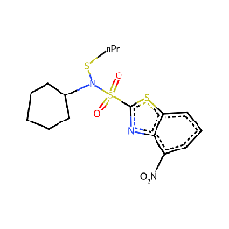 CCCSN(C1CCCCC1)S(=O)(=O)c1nc2c([N+](=O)[O-])cccc2s1